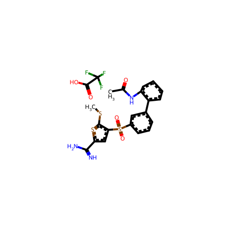 CSc1sc(C(=N)N)cc1S(=O)(=O)c1cccc(-c2ccccc2NC(C)=O)c1.O=C(O)C(F)(F)F